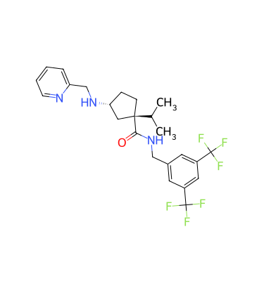 CC(C)[C@]1(C(=O)NCc2cc(C(F)(F)F)cc(C(F)(F)F)c2)CC[C@@H](NCc2ccccn2)C1